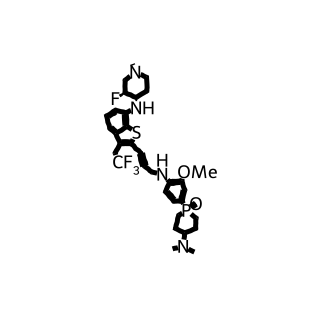 COc1cc(P2(=O)CCC(N(C)C)CC2)ccc1NCC#Cc1sc2c(N[C@H]3CCN(C)C[C@@H]3F)cccc2c1CC(F)(F)F